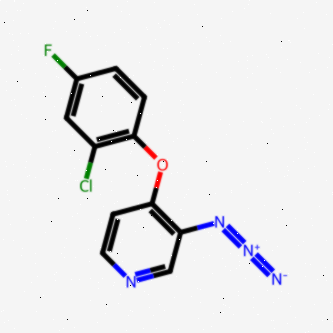 [N-]=[N+]=Nc1cnccc1Oc1ccc(F)cc1Cl